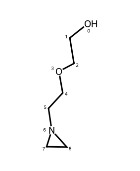 OCCOCCN1CC1